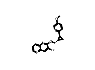 COc1ccc(C2C[C@@H]2COc2nc3cccnc3cc2Br)nc1